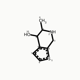 CC1NCc2sccc2C1O